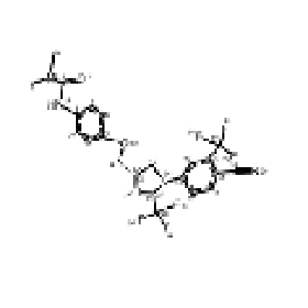 CN(C)C(=O)Nc1ccc(OC[C@@H]2CN(c3ccc(C#N)c(C(F)(F)F)c3)[C@@H](C(F)(F)F)O2)cc1